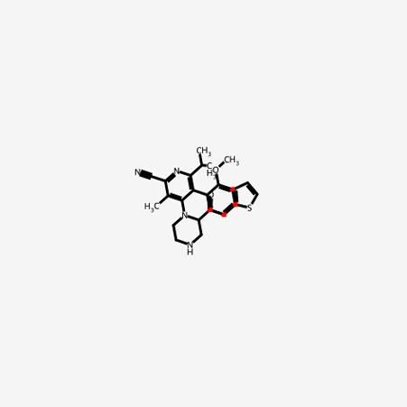 COc1ccccc1-c1c(C(C)C)nc(C#N)c(C)c1N1CCNCC1C(=O)Cc1cccs1